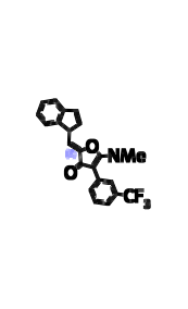 CNC1=C(c2cccc(C(F)(F)F)c2)C(=O)/C(=C/C2C=Cc3ccccc32)O1